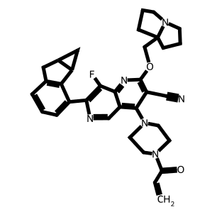 C=CC(=O)N1CCN(c2c(C#N)c(OCC34CCCN3CCC4)nc3c(F)c(-c4cccc5c4C4CC4C5)ncc23)CC1